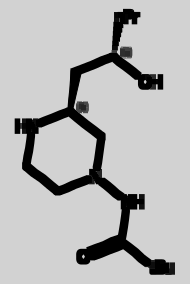 CCC[C@H](O)C[C@H]1CN(NC(=O)C(C)(C)C)CCN1